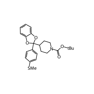 CSc1ccc(C2(C3CCN(C(=O)OC(C)(C)C)CC3)Oc3ccccc3O2)cc1